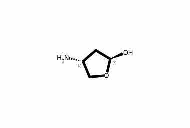 N[C@H]1CO[C@H](O)C1